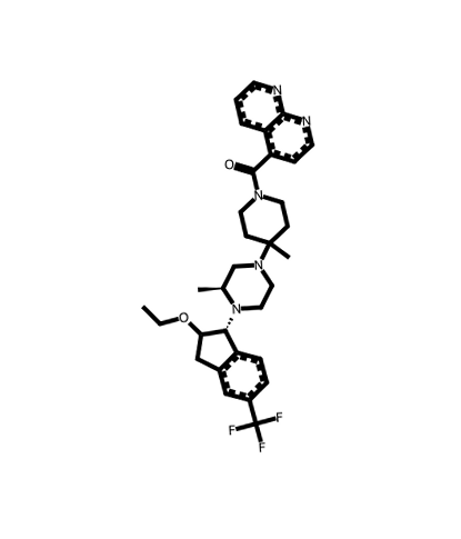 CCOC1Cc2cc(C(F)(F)F)ccc2[C@H]1N1CCN(C2(C)CCN(C(=O)c3ccnc4ncccc34)CC2)C[C@@H]1C